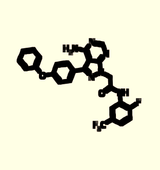 Nc1ncnc2c1c(-c1ccc(Oc3ccccc3)cc1)nn2CC(=O)Nc1cc(C(F)(F)F)ccc1F